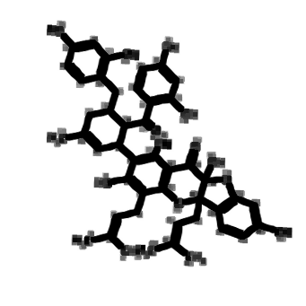 CC(C)=CCc1c(O)c(C2C=C(C)CC(Cc3ccc(O)cc3O)C2C(=O)c2ccc(O)cc2O)c(O)c2c1OC1(CC=C(C)C)c3ccc(O)cc3OC1(O)C2=O